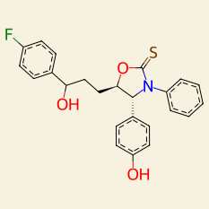 Oc1ccc([C@@H]2[C@@H](CCC(O)c3ccc(F)cc3)OC(=S)N2c2ccccc2)cc1